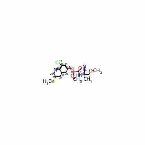 COCC(C)(C#N)NC(=O)C(OC)Oc1cc(Cl)c2ncc(SC)cc2c1